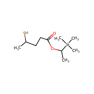 CC(S)CCC(=O)OC(C)[Si](C)(C)C